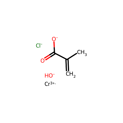 C=C(C)C(=O)[O-].[Cl-].[Cr+3].[OH-]